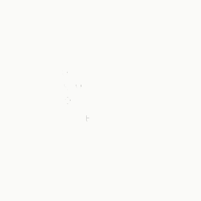 CS(=O)(=O)OCCc1c(F)ccc2ccccc12